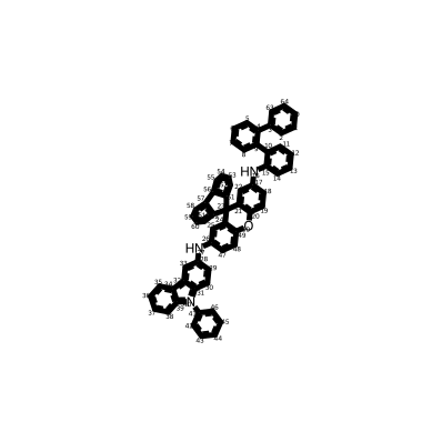 c1ccc(-c2ccccc2-c2ccccc2Nc2ccc3c(c2)C2(c4cc(Nc5ccc6c(c5)c5ccccc5n6-c5ccccc5)ccc4O3)c3ccccc3-c3ccccc32)cc1